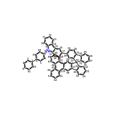 c1ccc(-c2ccc(-n3c4ccccc4c4cc(-c5ccc6c(c5)C5(c7ccccc7-6)c6ccccc6-c6cc7c8ccccc8c8ccccc8c7cc65)ccc43)cc2)cc1